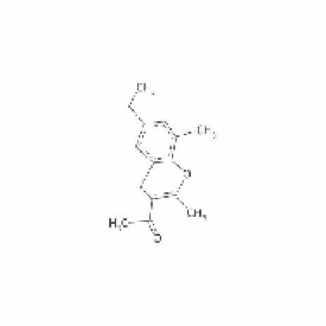 CCc1cc(C)c2c(c1)CC(C(C)=O)=C(C)O2